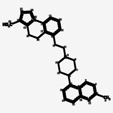 Cc1ccc2c(C3CCN(CCc4cccc5c4CCc4c(C(=O)O)ncn4-5)CC3)cccc2n1